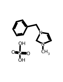 CN1C=CN(Cc2ccccc2)C1.O=S(=O)(O)O